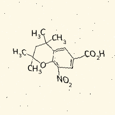 CC1(C)CC(C)(C)c2cc(C(=O)O)cc([N+](=O)[O-])c2O1